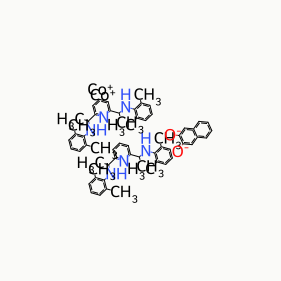 Cc1cccc(C)c1NC(C)c1cccc(C(C)Nc2c(C)cccc2C)n1.Cc1cccc(C)c1NC(C)c1cccc(C(C)Nc2c(C)cccc2C)n1.[Co+].[Co+].[O-]c1cc2ccccc2cc1[O-]